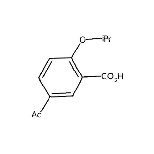 CC(=O)c1ccc(OC(C)C)c(C(=O)O)c1